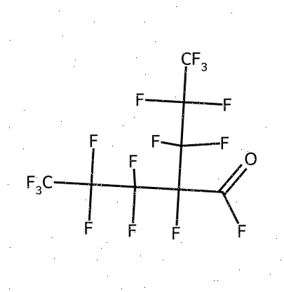 O=C(F)C(F)(C(F)(F)C(F)(F)C(F)(F)F)C(F)(F)C(F)(F)C(F)(F)F